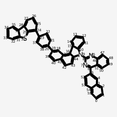 c1ccc2cc(-c3nc(-n4c5ccccc5c5c6cc(-c7ccc(-c8cccc9c8sc8ccccc89)cc7)ccc6ccc54)nc4ccccc34)ccc2c1